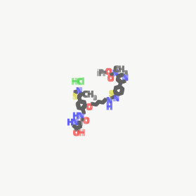 Cc1ncsc1-c1ccc(CNC(=O)[C@@H]2C[C@@H](O)CN2)c(OCCCCCNc2nc3ccc(-c4cncc(N(C)C(=O)OC(C)C)c4)cc3s2)c1.Cl